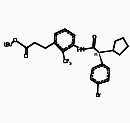 CC(C)(C)OC(=O)CCc1cccc(NC(=O)[C@@H](c2ccc(Br)cc2)C2CCCC2)c1C(F)(F)F